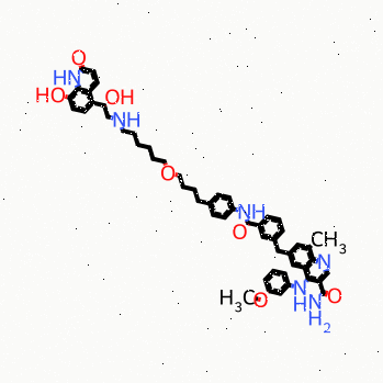 COc1cccc(Nc2c(C(N)=O)cnc3c(C)cc(Cc4cccc(C(=O)Nc5ccc(CCCCOCCCCCCNC[C@H](O)c6ccc(O)c7[nH]c(=O)ccc67)cc5)c4)cc23)c1